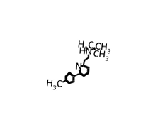 Cc1ccc(-c2cccc(CCNC(C)(C)C)n2)cc1